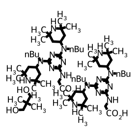 CC(C)(CO)CO.CCCCN(c1nc(NCC(=O)O)nc(N(CCCC)C2CC(C)(C)NC(C)(C)C2)n1)C1CC(C)(C)NC(C)(C)C1.CCCCN(c1nc(NCC(=O)O)nc(N(CCCC)C2CC(C)(C)NC(C)(C)C2)n1)C1CC(C)(C)NC(C)(C)C1